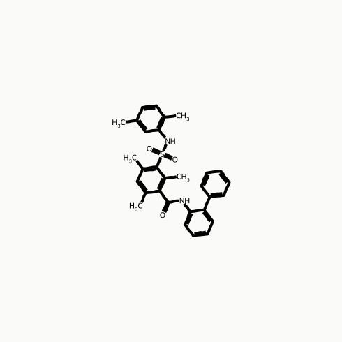 Cc1ccc(C)c(NS(=O)(=O)c2c(C)cc(C)c(C(=O)Nc3ccccc3-c3ccccc3)c2C)c1